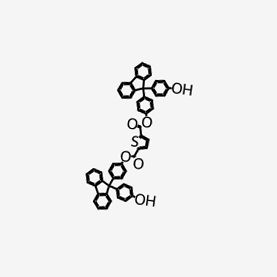 O=C(Oc1ccc(C2(c3ccc(O)cc3)c3ccccc3-c3ccccc32)cc1)c1ccc(C(=O)Oc2ccc(C3(c4ccc(O)cc4)c4ccccc4-c4ccccc43)cc2)s1